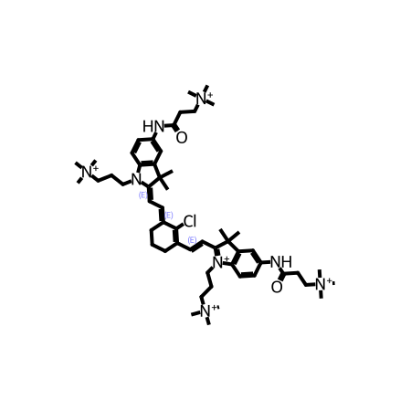 CC1(C)C(/C=C/C2=C(Cl)C(=C/C=C3/N(CCC[N+](C)(C)C)c4ccc(NC(=O)CC[N+](C)(C)C)cc4C3(C)C)/CCC2)=[N+](CCC[N+](C)(C)C)c2ccc(NC(=O)CC[N+](C)(C)C)cc21